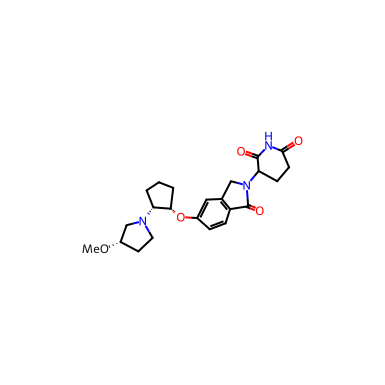 CO[C@H]1CCN([C@@H]2CCC[C@@H]2Oc2ccc3c(c2)CN(C2CCC(=O)NC2=O)C3=O)C1